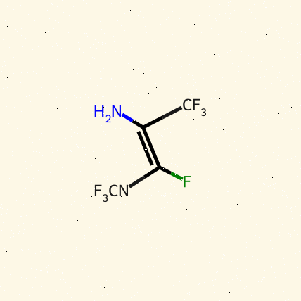 N/C(=C(/F)NC(F)(F)F)C(F)(F)F